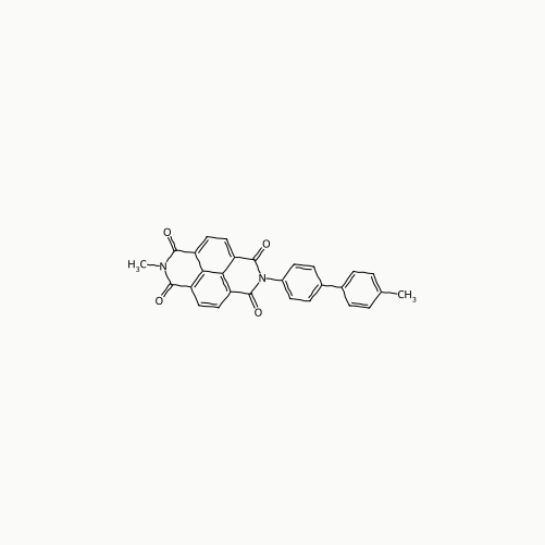 Cc1ccc(-c2ccc(N3C(=O)c4ccc5c6c(ccc(c46)C3=O)C(=O)N(C)C5=O)cc2)cc1